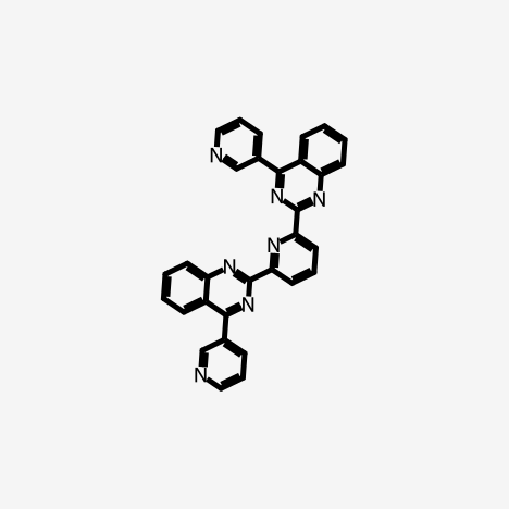 c1cncc(-c2nc(-c3cccc(-c4nc(-c5cccnc5)c5ccccc5n4)n3)nc3ccccc23)c1